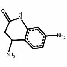 Nc1ccc2c(c1)NC(=O)CC2N